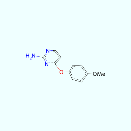 COc1ccc(Oc2ccnc(N)n2)cc1